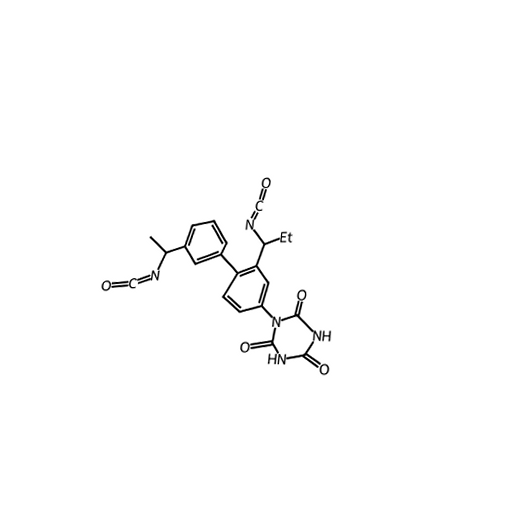 CCC(N=C=O)c1cc(-n2c(=O)[nH]c(=O)[nH]c2=O)ccc1-c1cccc(C(C)N=C=O)c1